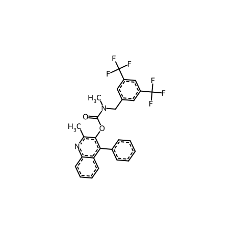 Cc1nc2ccccc2c(-c2ccccc2)c1OC(=O)N(C)Cc1cc(C(F)(F)F)cc(C(F)(F)F)c1